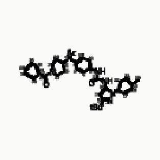 CC(=O)N(c1ccc(NC(=O)Nc2cc(C(C)(C)C)nn2-c2ccc(C)cc2)cc1)C1CCN(C(=O)c2ccccc2)CC1